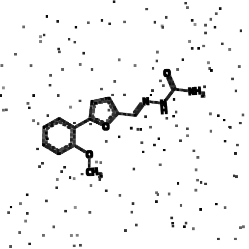 COc1ccccc1-c1ccc(/C=N/NC(N)=O)o1